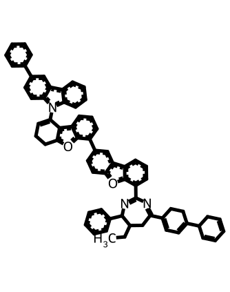 CCC1CC(C2=CC=C(C3C=CC=CC3)CC2)=NC(c2cccc3c2oc2ccc(-c4cccc5c6c(oc45)CCC=C6n4c5ccccc5c5cc(-c6ccccc6)ccc54)cc23)=NC1c1ccccc1